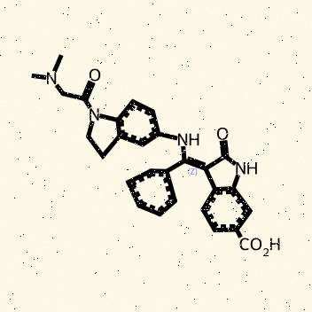 CN(C)CC(=O)N1CCc2cc(N/C(=C3\C(=O)Nc4cc(C(=O)O)ccc43)c3ccccc3)ccc21